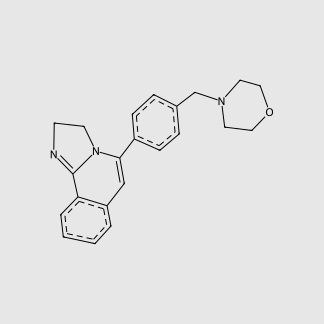 C1=C(c2ccc(CN3CCOCC3)cc2)N2CCN=C2c2ccccc21